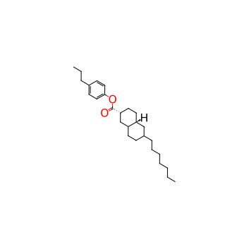 CCCCCCCC1CCC2C[C@H](C(=O)Oc3ccc(CCC)cc3)CC[C@@H]2C1